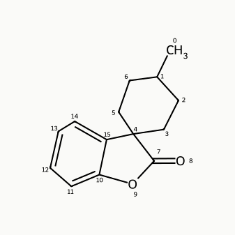 CC1CCC2(CC1)C(=O)Oc1ccccc12